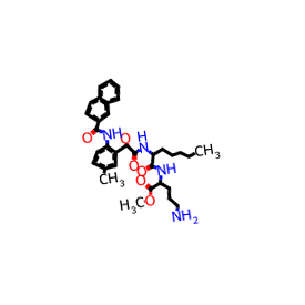 CCCCCC(NC(=O)C(=O)c1cc(C)ccc1NC(=O)c1ccc2ccccc2c1)C(=O)NC(CCCN)C(=O)OC